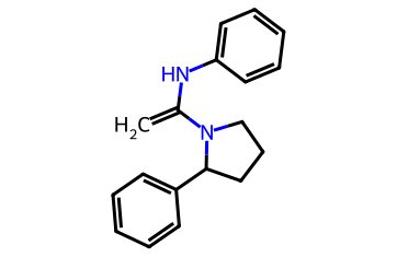 C=C(Nc1ccccc1)N1CCCC1c1ccccc1